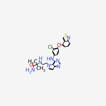 CC(C)(NCCn1ccc2ncnc(Nc3ccc(Oc4cccc5nscc45)c(Cl)c3)c21)C(N)=O